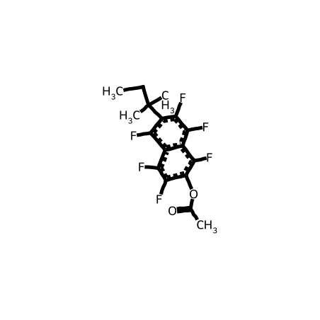 CCC(C)(C)c1c(F)c(F)c2c(F)c(OC(C)=O)c(F)c(F)c2c1F